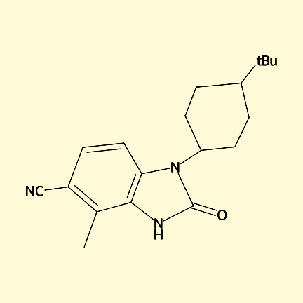 Cc1c(C#N)ccc2c1[nH]c(=O)n2C1CCC(C(C)(C)C)CC1